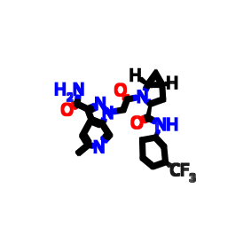 Cc1cc2c(C(N)=O)nn(CC(=O)N3[C@@H]4C[C@@H]4C[C@H]3C(=O)N[C@@H]3CCC[C@H](C(F)(F)F)C3)c2cn1